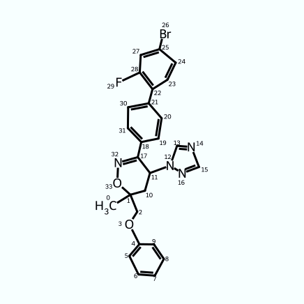 CC1(COc2ccccc2)CC(n2cncn2)C(c2ccc(-c3ccc(Br)cc3F)cc2)=NO1